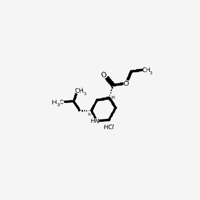 CCOC(=O)[C@@H]1CCN[C@H](CC(C)C)C1.Cl